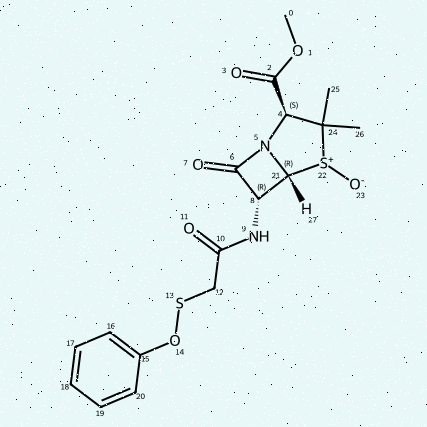 COC(=O)[C@@H]1N2C(=O)[C@@H](NC(=O)CSOc3ccccc3)[C@H]2[S+]([O-])C1(C)C